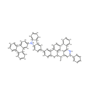 CC(c1cc(-c2ccccc2)nc(-c2ccccc2)c1)C1Cc2ccc(-c3ccc4c(c3)c3ccccc3n4-c3ccc4c5ccccc5c5ccccc5c4c3)cc2-c2ccccc21